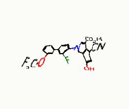 N#CC1CC(O)C2=C1C(C(=O)O)=CN(c1ccc(-c3cccc(OC(F)(F)F)c3)cc1F)C2